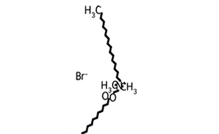 CCCCCCCCCCCCCCCCCC[N+](C)(C)CCOC(=O)CCCCCCCCCCCC.[Br-]